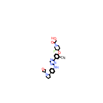 N#Cc1cc(-c2ncnc(Nc3ccc([C@H]4CCCN4C4COC4)cc3)n2)ccc1OC1CCN(C(=O)CO)CC1F